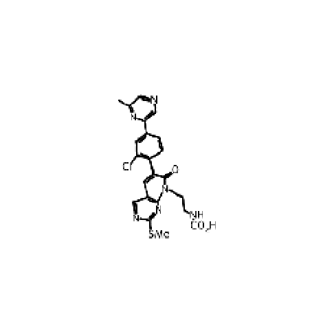 CSc1ncc2cc(-c3ccc(-c4cncc(C)n4)cc3Cl)c(=O)n(CCNC(=O)O)c2n1